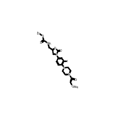 CCOC(=S)NCC1CN(c2ccc(N3CCN(C(=O)COC)CC3)c(F)c2)C(=O)O1